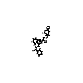 CC(CCC(CNC(=O)COc1ccc(Cl)cc1)c1ccccc1)c1ccccc1